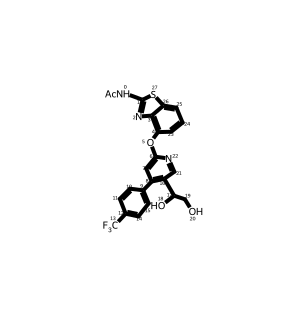 CC(=O)Nc1nc2c(Oc3cc(-c4ccc(C(F)(F)F)cc4)c(C(O)CO)cn3)cccc2s1